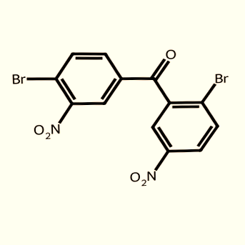 O=C(c1ccc(Br)c([N+](=O)[O-])c1)c1cc([N+](=O)[O-])ccc1Br